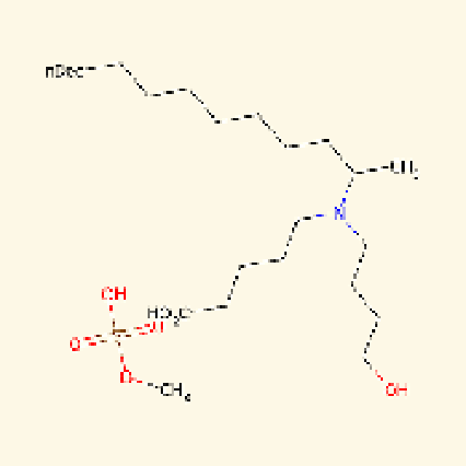 CCCCCCCCCCCCCCCCCC(C)N(CCCCO)CCCCC(=O)O.COS(=O)(=O)O